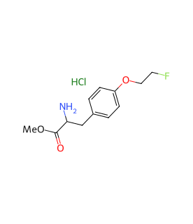 COC(=O)C(N)Cc1ccc(OCCF)cc1.Cl